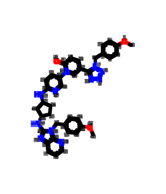 COc1ccc(Cn2nnnc2-c2ccc(=O)n(-c3ccc(N[C@H]4CC[C@H](Nc5nc6cccnc6n5Cc5ccc(OC)cc5)C4)nc3)c2)cc1